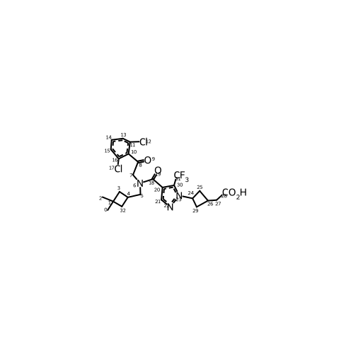 CC1(C)CC(CN(CC(=O)c2c(Cl)cccc2Cl)C(=O)c2cnn(C3CC(CC(=O)O)C3)c2C(F)(F)F)C1